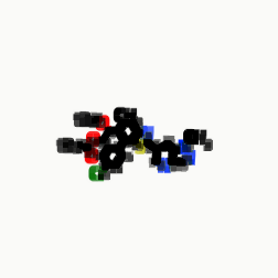 Cc1cc2nc(-c3cnc4cnn(C)c4c3)sc2c(-c2ccc(Cl)cc2)c1[C@@H](COC(=O)C(C)(C)C)OC(C)(C)C